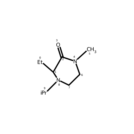 CCC1C(=O)N(C)CCN1C(C)C